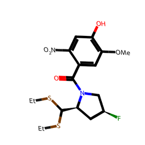 CCSC(SCC)[C@@H]1C[C@H](F)CN1C(=O)c1cc(OC)c(O)cc1[N+](=O)[O-]